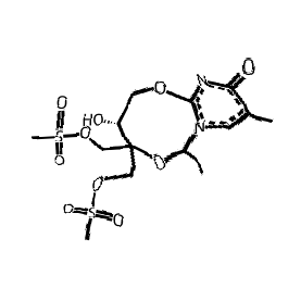 Cc1cn2c(nc1=O)OC[C@@H](O)C(COS(C)(=O)=O)(COS(C)(=O)=O)OC2C